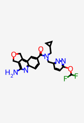 Nc1nc2ccc(C(=O)N(Cc3ccc(OC(F)F)nn3)CC3CC3)cc2c2c1COC2